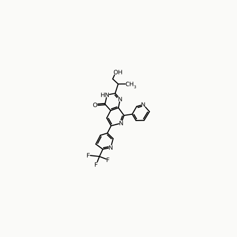 CC(CO)c1nc2c(-c3cccnc3)nc(-c3ccc(C(F)(F)F)nc3)cc2c(=O)[nH]1